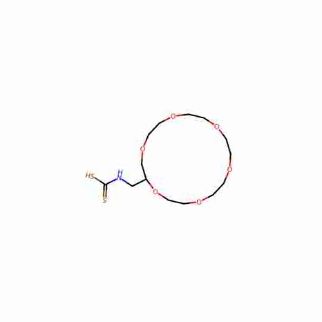 S=C(S)NCC1COCCOCCOCCOCCOCCO1